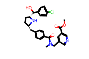 COC(=O)c1cncc(CN(C)C(=O)c2ccc(C[C@@H]3CC[C@H](C(O)c4ccc(Cl)cc4)N3)cc2)c1